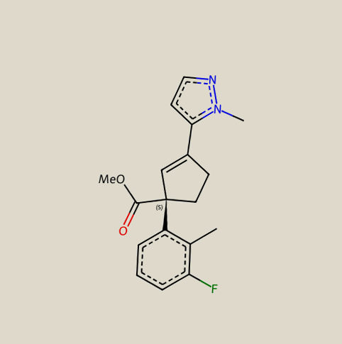 COC(=O)[C@]1(c2cccc(F)c2C)C=C(c2ccnn2C)CC1